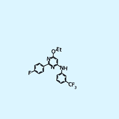 CCOc1cc(Nc2cccc(C(F)(F)F)c2)nc(-c2ccc(F)cc2)n1